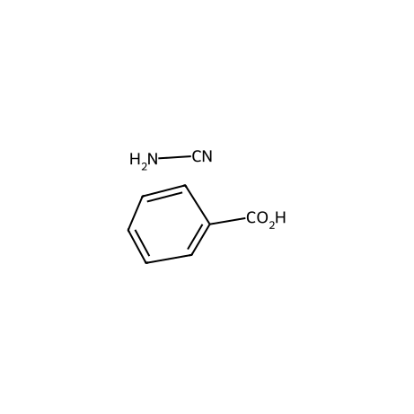 N#CN.O=C(O)c1ccccc1